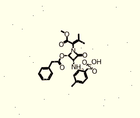 COC(=O)C(=C(C)C)N1C(=O)[C@@H](N)[C@H]1OC(=O)Cc1ccccc1.Cc1ccc(S(=O)(=O)O)cc1